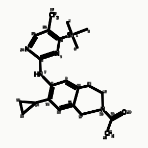 [CH3][Sn]([CH3])([CH3])[c]1nc(Nc2cc3c(cc2C2CC2)CN(C(=O)C(F)(F)F)CC3)ncc1C(F)(F)F